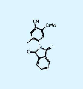 COc1cc(N2C(=O)c3ccccc3C2=O)c(C)cc1C#N